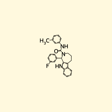 Cc1cccc(NC(=O)N2CCCc3c([nH]c4ccccc34)C2c2cccc(F)c2)c1